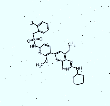 CCc1cc(-c2ccc(NS(=O)(=O)Cc3ccccc3Cl)nc2OC)nc2cnc(NC3CCCCC3)nc12